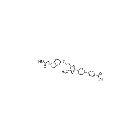 Cc1oc(-c2ccc(-c3ccc(C(=O)O)cc3)cc2)nc1CCOc1ccc2c(c1)CC[C@H]2CC(=O)O